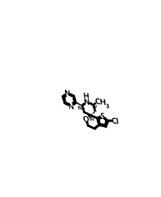 C[C@H]1C[C@@]2(C[C@@H](c3cnccn3)N1)OCCc1cc(Cl)sc12